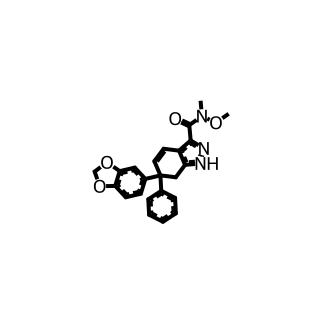 CON(C)C(=O)c1n[nH]c2c1C=CC(c1ccccc1)(c1ccc3c(c1)OCO3)C2